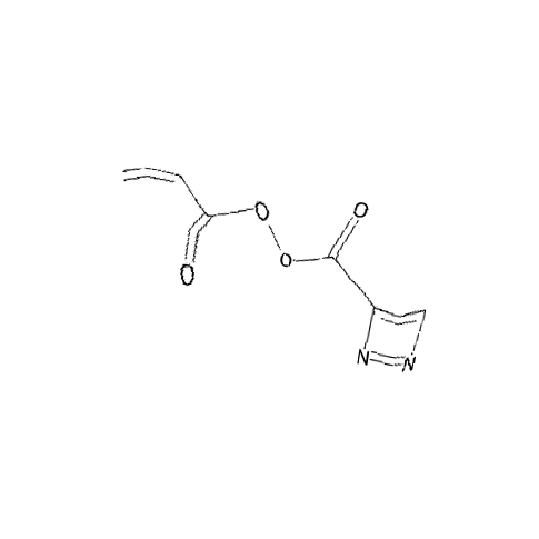 C=CC(=O)OOC(=O)C1=CN=N1